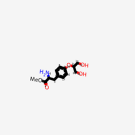 COC(=O)C(N)Cc1ccc(OC(CO)CO)cc1